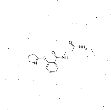 NC(=O)CCNC(=O)c1ccccc1SC1=NCCC1